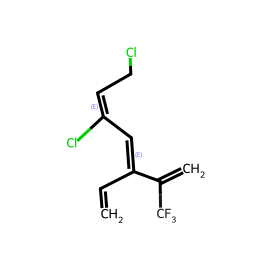 C=C/C(=C\C(Cl)=C/CCl)C(=C)C(F)(F)F